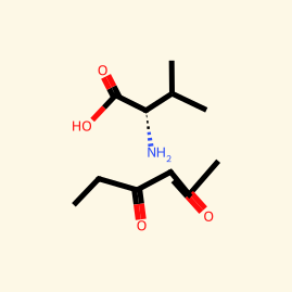 CC(C)[C@H](N)C(=O)O.CCC(=O)CC(C)=O